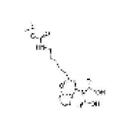 CC(C)(C)OC(=O)NCCCCCC(=O)N=C(N(C(=O)O)C(=O)O)n1cccn1